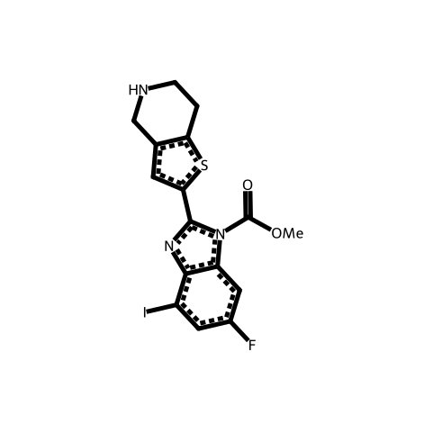 COC(=O)n1c(-c2cc3c(s2)CCNC3)nc2c(I)cc(F)cc21